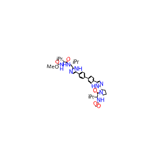 COC(=O)N[C@H](C(=O)N[C@@H](c1ncc(-c2ccc(-c3ccc(-c4cnc([C@@H]5CCCN5C(=O)C(NC5OCO5)C(C)C)[nH]4)cc3)cc2)[nH]1)C(C)C)C(C)C